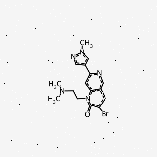 CN(C)CCn1c(=O)c(Br)cc2cnc(-c3cnn(C)c3)cc21